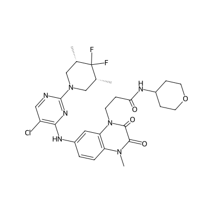 C[C@@H]1CN(c2ncc(Cl)c(Nc3ccc4c(c3)n(CCC(=O)NC3CCOCC3)c(=O)c(=O)n4C)n2)C[C@H](C)C1(F)F